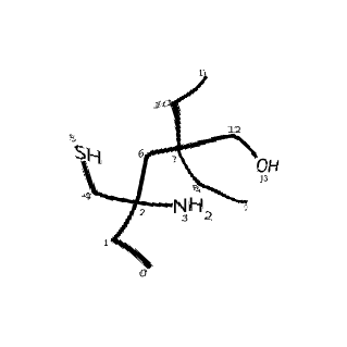 CCC(N)(CS)CC(CC)(CC)CO